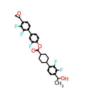 CC(O)c1ccc(C2CCC(C(=O)Oc3ccc(-c4ccc(C5CO5)c(F)c4F)cc3F)CC2)c(F)c1F